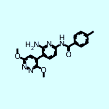 COc1cc(-c2ccc(NC(=O)c3ccc(C)cc3)nc2N)c(OC)nn1